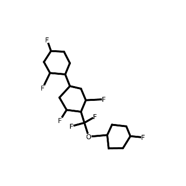 FC1CCC(OC(F)(F)C2C(F)CC(C3CCC(F)CC3F)CC2F)CC1